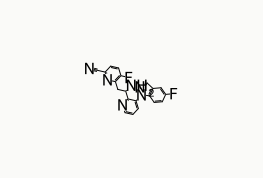 N#Cc1ccc(F)c(CC(N)c2ncccc2-n2ncc3cc(F)ccc32)n1